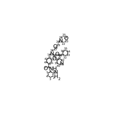 Nc1ccccc1NC(=O)c1ccc(CN(CCOCCN2CCOCC2)C(=O)O[C@@H](c2ccccc2)c2cccnc2)cc1